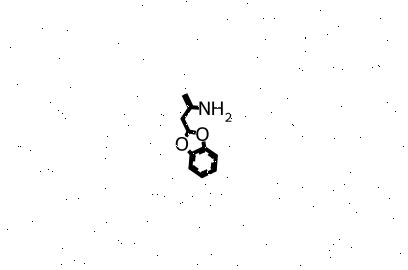 C=C(N)CC1Oc2ccccc2O1